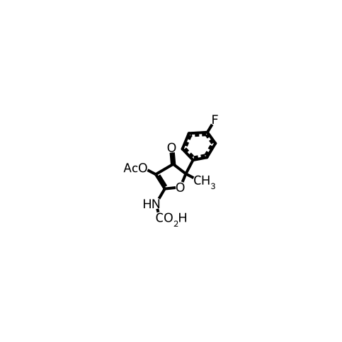 CC(=O)OC1=C(NC(=O)O)OC(C)(c2ccc(F)cc2)C1=O